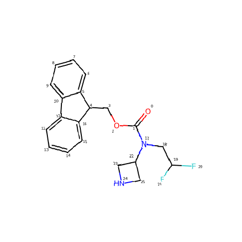 O=C(OCC1c2ccccc2-c2ccccc21)N(CC(F)F)C1CNC1